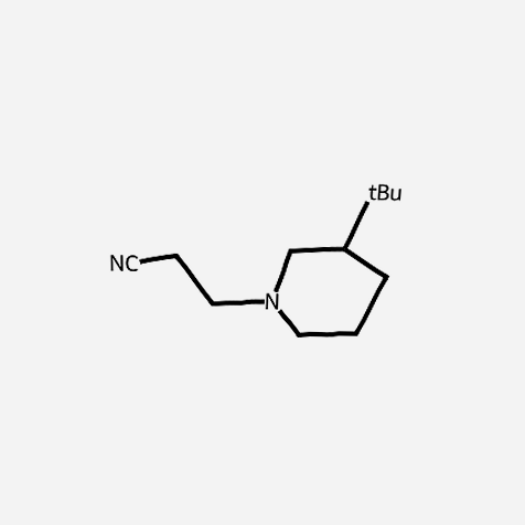 CC(C)(C)C1CCCN(CCC#N)C1